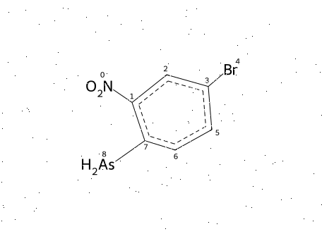 O=[N+]([O-])c1cc(Br)ccc1[AsH2]